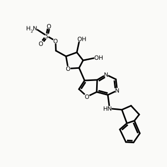 NS(=O)(=O)OCC1OC(c2coc3c(NC4CCc5ccccc54)ncnc23)C(O)C1O